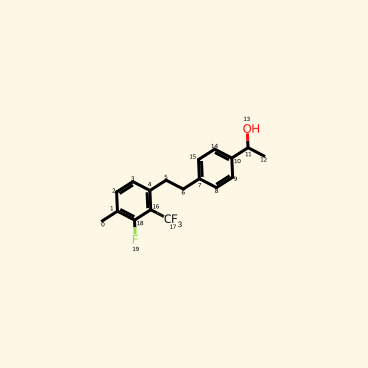 Cc1ccc(CCc2ccc(C(C)O)cc2)c(C(F)(F)F)c1F